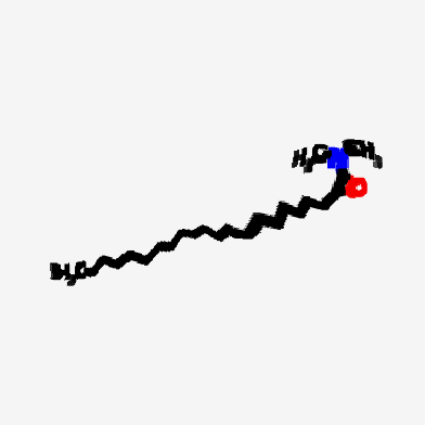 CCCCCCCCCCCCCCCCCCCCC1OC1N(C)C